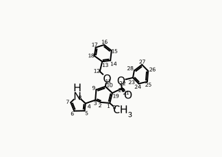 Cc1cc(-c2ccc[nH]2)cc(OCc2ccccc2)c1C(=O)Oc1ccccc1